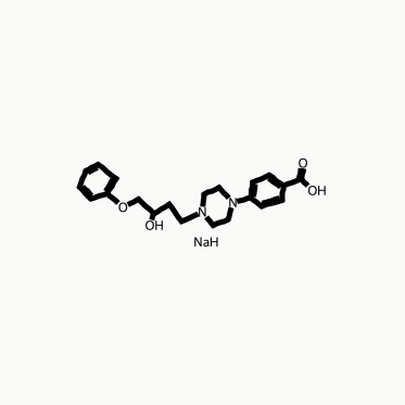 O=C(O)c1ccc(N2CCN(CCC(O)COc3ccccc3)CC2)cc1.[NaH]